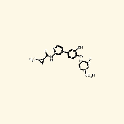 CC1CC1C(=O)Nc1cc(-c2ccc(O[C@H]3CCN(C(=O)O)C[C@H]3F)c(C#N)c2)ccn1